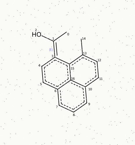 C/C(O)=c1/ccc2cccc3ccc(C)c1c32